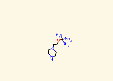 NC(N)(N)OCCN1CCNCC1